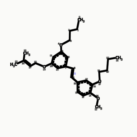 CCCCOc1cc(/C=C/c2ccc(OC)c(OCCCC)c2)cc(OCC=C(C)C)c1